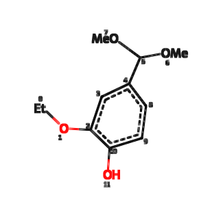 CCOc1cc(C(OC)OC)ccc1O